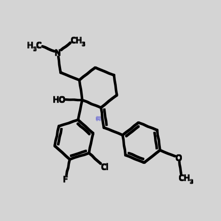 COc1ccc(/C=C2\CCCC(CN(C)C)C2(O)c2ccc(F)c(Cl)c2)cc1